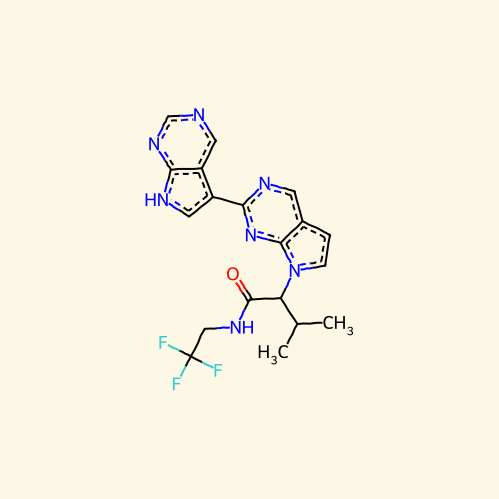 CC(C)C(C(=O)NCC(F)(F)F)n1ccc2cnc(-c3c[nH]c4ncncc34)nc21